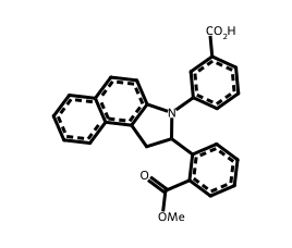 COC(=O)c1ccccc1C1Cc2c(ccc3ccccc23)N1c1cccc(C(=O)O)c1